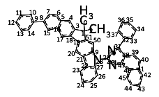 CC1(C)c2cc3ccc(-c4ccccc4)cc3cc2-c2cc3c4ccccc4n(-c4nc(-c5ccccc5)c5ccc6ccccc6c5n4)c3cc21